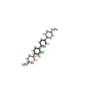 CCCC1CCC(c2ccc(-c3ccc(C4CCC(CCC)OC4)c(F)c3F)nc2)CC1